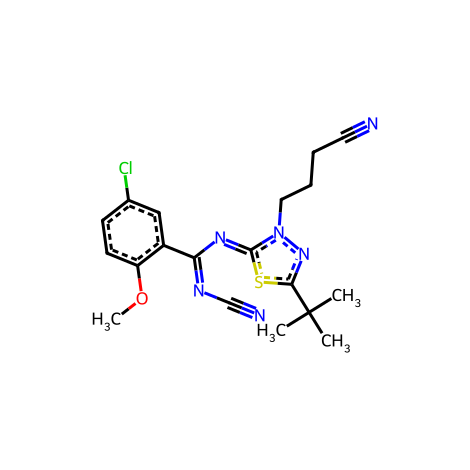 COc1ccc(Cl)cc1C(=NC#N)/N=c1\sc(C(C)(C)C)nn1CCCC#N